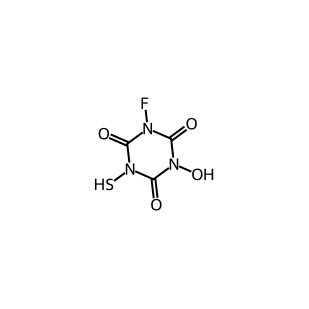 O=c1n(O)c(=O)n(S)c(=O)n1F